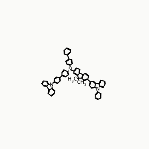 CC1(C)c2cc(-c3ccc4c(c3)c3ccccc3n4-c3ccccc3)ccc2-c2ccc(N(c3ccc(-c4ccccc4)cc3)c3ccc(-c4ccc(-n5c6ccccc6c6ccccc65)cc4)cc3)cc21